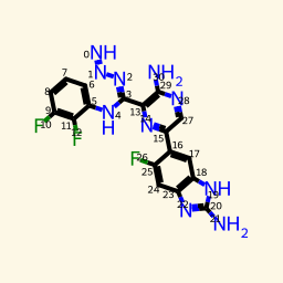 N=N/N=C(\Nc1cccc(F)c1F)c1nc(-c2cc3[nH]c(N)nc3cc2F)cnc1N